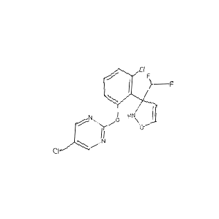 FC(F)C1(c2c(Cl)cccc2Oc2ncc(Cl)cn2)C=CON1